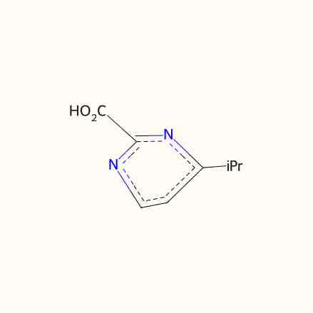 CC(C)c1ccnc(C(=O)O)n1